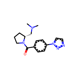 CN(C)C[C@H]1CCCN1C(=O)c1ccc(-n2ccnn2)cc1